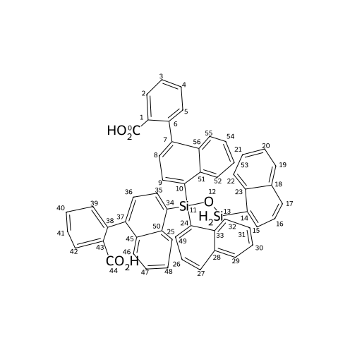 O=C(O)c1ccccc1-c1ccc([Si](O[SiH2]c2cccc3ccccc23)(c2cccc3ccccc23)c2ccc(-c3ccccc3C(=O)O)c3ccccc23)c2ccccc12